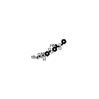 CC(C)(C)OC(=O)/N=C(\N)Nc1ccc(C(=O)Oc2ccc3c(C(=O)OCc4ccccc4)c[nH]c3c2)cc1